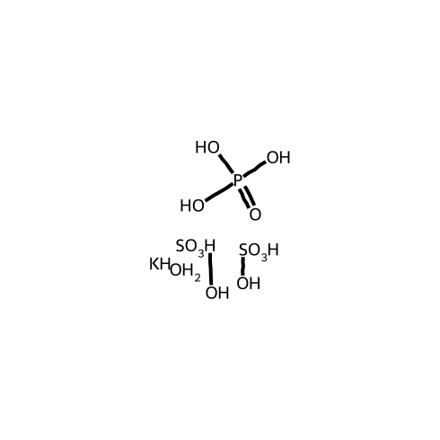 O.O=P(O)(O)O.O=S(=O)(O)O.O=S(=O)(O)O.[KH]